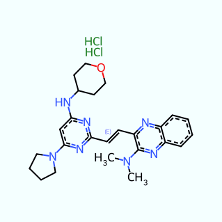 CN(C)c1nc2ccccc2nc1/C=C/c1nc(NC2CCOCC2)cc(N2CCCC2)n1.Cl.Cl